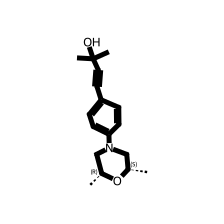 C[C@@H]1CN(c2ccc(C#CC(C)(C)O)cc2)C[C@H](C)O1